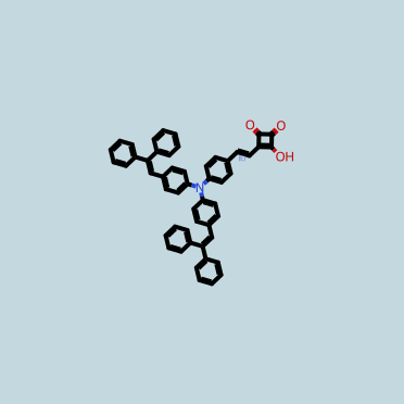 O=c1c(O)c(/C=C/c2ccc(N(c3ccc(C=C(c4ccccc4)c4ccccc4)cc3)c3ccc(C=C(c4ccccc4)c4ccccc4)cc3)cc2)c1=O